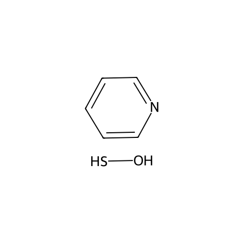 OS.c1ccncc1